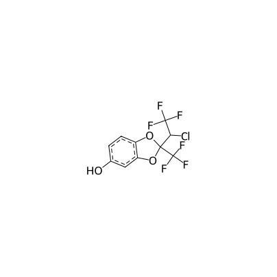 Oc1ccc2c(c1)OC(C(Cl)C(F)(F)F)(C(F)(F)F)O2